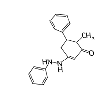 CC1C(=O)C=C(NNc2ccccc2)CC1c1ccccc1